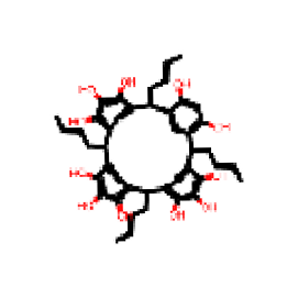 CCCCC1c2cc(c(O)cc2O)C(CCCC)c2cc(c(O)c(O)c2O)C(CCCC)c2cc(c(O)c(O)c2O)C(CCCC)c2cc1c(O)c(O)c2O